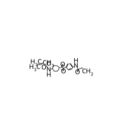 C=CC(=O)Nc1ccc(S(=O)(=O)C2CCC(NC(=O)OC(C)(C)C)CC2)cc1